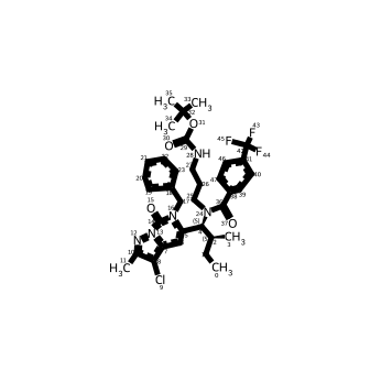 CC[C@H](C)[C@@H](c1cc2c(Cl)c(C)nn2c(=O)n1Cc1ccccc1)N(CCCNC(=O)OC(C)(C)C)C(=O)c1ccc(C(F)(F)F)cc1